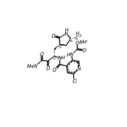 CNC(=O)C(=O)[C@H](C[C@@H]1C[C@@H](C)NC1=O)NC(=O)c1cc(Cl)ncc1NC(=O)OC